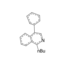 CCCCc1ncc(-c2ccccc2)c2ccccc12